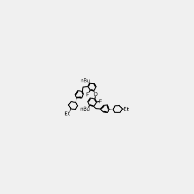 CCCCc1ccc(Oc2ccc(CCCC)c(Cc3ccc([C@H]4CC[C@H](CC)CC4)cc3)c2F)c(F)c1Cc1ccc([C@H]2CC[C@H](CC)CC2)cc1